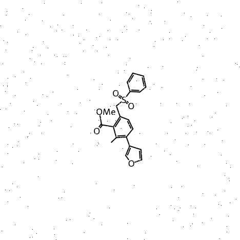 COC(=O)c1c(CS(=O)(=O)c2ccccc2)ccc(-c2ccoc2)c1C